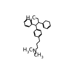 CCC(C1=CC=CCC1)C(c1ccccc1)c1ccc(CCCN(C)C)cc1